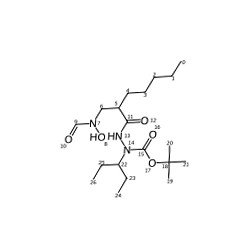 CCCCCC(CN(O)C=O)C(=O)NN(C(=O)OC(C)(C)C)C(CC)CC